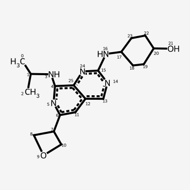 CC(C)Nc1nc(C2COC2)cc2cnc(NC3CCC(O)CC3)nc12